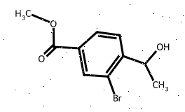 COC(=O)c1ccc(C(C)O)c(Br)c1